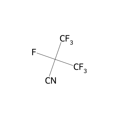 N#CC(F)(C(F)(F)F)C(F)(F)F